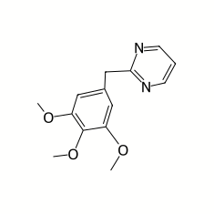 COc1cc(Cc2ncccn2)cc(OC)c1OC